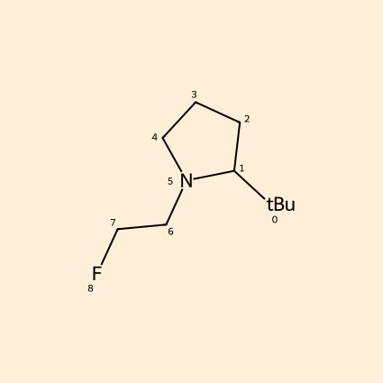 CC(C)(C)C1CCCN1CCF